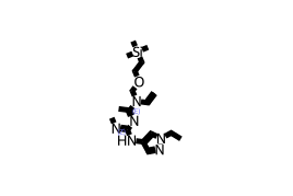 C=CN(COCC[Si](C)(C)C)/C(C)=N/C(=N\C)Nc1cnn(CC)c1